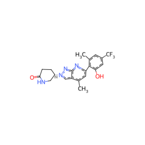 Cc1cc(C(F)(F)F)cc(O)c1-c1cc(C)c2cn([C@H]3CCC(=O)NC3)nc2n1